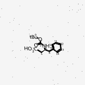 CC(C)(C)OC(=O)N[C@H](CC(=O)O)Cc1ccccc1